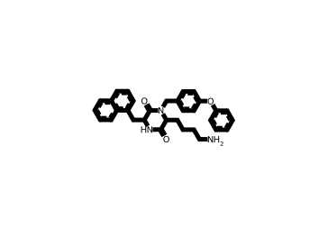 NCCCCC1C(=O)NC(Cc2cccc3ccccc23)C(=O)N1Cc1ccc(Oc2ccccc2)cc1